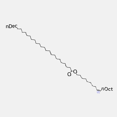 CCCCCCCC/C=C\CCCCCCCCOC(=O)CCCCCCCCCCCCCCCCCCCCCCCCCCCCCCCC